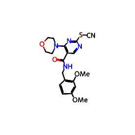 COc1ccc(CNC(=O)c2cnc(SC#N)nc2N2CCOCC2)c(OC)c1